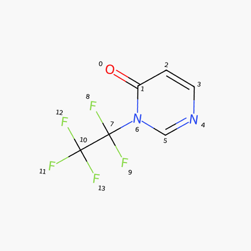 O=c1ccncn1C(F)(F)C(F)(F)F